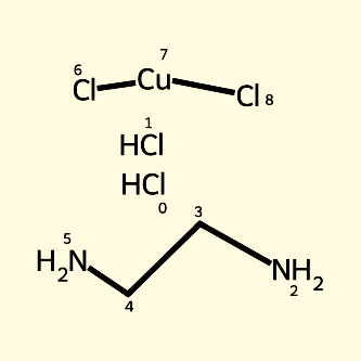 Cl.Cl.NCCN.[Cl][Cu][Cl]